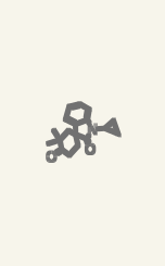 CC1(C)CC2(CCC1=O)C(=O)N(C1CC1)c1ccccc12